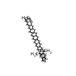 CCCCCCCCCCCCCCCCCCOC(C)c1nc2cscc2nc1C(C)OCCCCCCCCCCCCCCCCCC